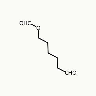 O=CCCCCCOC=O